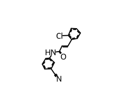 N#Cc1cccc(NC(=O)/C=C/c2ccccc2Cl)c1